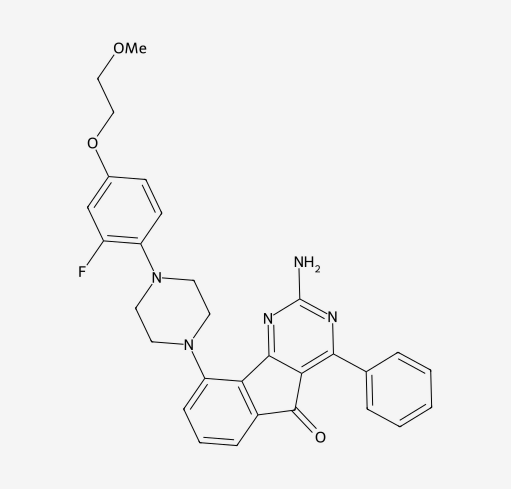 COCCOc1ccc(N2CCN(c3cccc4c3-c3nc(N)nc(-c5ccccc5)c3C4=O)CC2)c(F)c1